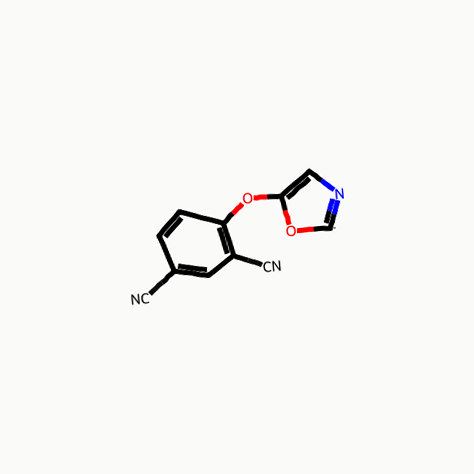 N#Cc1ccc(Oc2cn[c]o2)c(C#N)c1